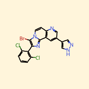 Clc1cccc(Cl)c1-c1nc2c3cc(-c4cn[nH]c4)cnc3ccn2c1Br